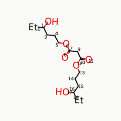 CCC(O)CCCOC(=O)CC(=O)OCCCC(O)CC